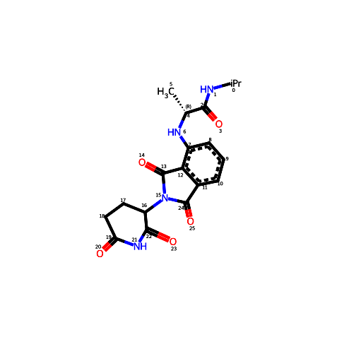 CC(C)NC(=O)[C@@H](C)Nc1cccc2c1C(=O)N(C1CCC(=O)NC1=O)C2=O